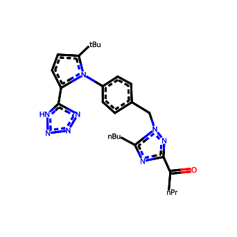 CCCCc1nc(C(=O)CCC)nn1Cc1ccc(-n2c(-c3nnn[nH]3)ccc2C(C)(C)C)cc1